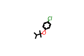 CC(C)C(C)(C)Oc1ccc(Cl)cc1